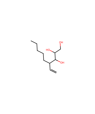 C=CC(CCCCC)C(O)C(O)CO